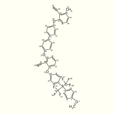 COc1ccc(C(c2ccc(Oc3cccc(Oc4ccc(-c5ccc(Oc6cccc(C)c6C#N)cc5)cc4)c3C#N)cc2)(C(F)(F)F)C(F)(F)F)cc1